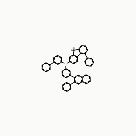 CC1(C)c2cc(N(c3cccc(-c4ccccc4)c3)c3cccc(-c4cc5ccccc5cc4-c4ccccc4)c3)ccc2-c2c(-c3ccccc3)cccc21